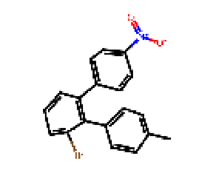 Cc1ccc(-c2c(-c3ccc([N+](=O)[O-])cc3)[c]ccc2Br)cc1